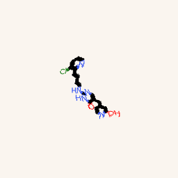 O=c1[nH]c(NCCCCc2ncccc2Cl)ncc1Cc1ccnc(O)c1